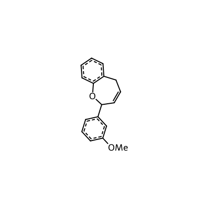 COc1cccc(C2C=CCc3ccccc3O2)c1